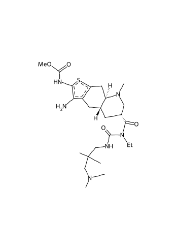 CCN(C(=O)NCC(C)(C)CN(C)C)C(=O)[C@@H]1C[C@@H]2Cc3c(sc(NC(=O)OC)c3N)C[C@H]2N(C)C1